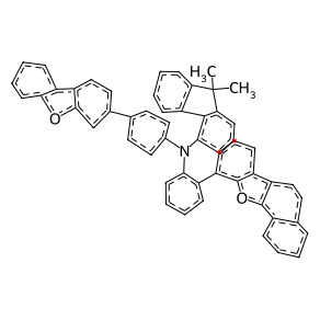 CC1(C)c2ccccc2-c2c(N(c3ccc(-c4ccc5c(c4)oc4ccccc45)cc3)c3ccccc3-c3cccc4c3oc3c5ccccc5ccc43)cccc21